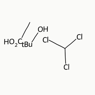 CC(=O)O.CC(C)(C)O.ClC(Cl)Cl